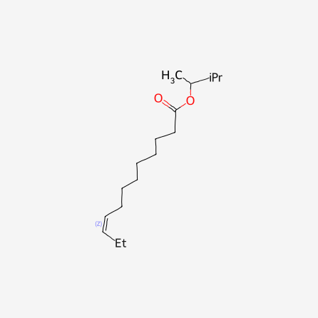 CC/C=C\CCCCCCCC(=O)OC(C)C(C)C